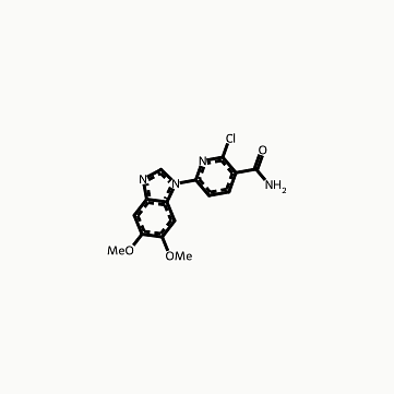 COc1cc2ncn(-c3ccc(C(N)=O)c(Cl)n3)c2cc1OC